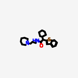 O=C(NCCCN1CCCCCC1)C(c1cc2ccccc2s1)C1CCCCC1